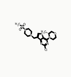 C[C@@H]1COCCN1c1nc(Cl)nc2c(CN3CCN(S(C)(=O)=O)CC3)csc12